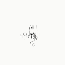 NCCCC[C@H](NC(=O)[C@@H]1CCCN1C(=O)Cc1cccc2ccccc12)C(=O)N[C@@H](Cc1ccccc1)C(N)=O